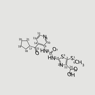 CSc1sc(NC(=O)Nc2cnccc2C(=O)C2CCCC2)nc1C(=O)O